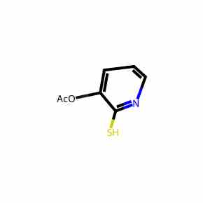 CC(=O)Oc1cccnc1S